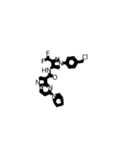 O=C(Nc1cn(-c2ccc(CCl)cc2)nc1C(F)F)c1cnn2ccc(N3CC4CCC3C4)nc12